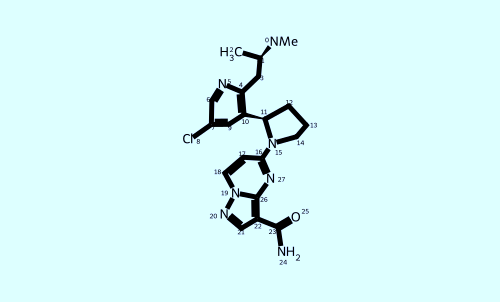 CN[C@H](C)Cc1ncc(Cl)cc1[C@H]1CCCN1c1ccn2ncc(C(N)=O)c2n1